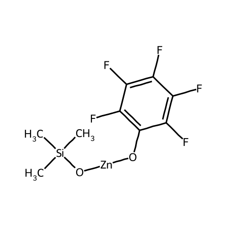 C[Si](C)(C)[O][Zn][O]c1c(F)c(F)c(F)c(F)c1F